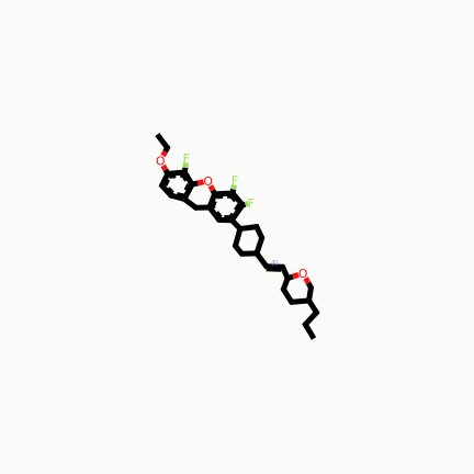 CCCC1CCC(/C=C/C2CCC(c3cc4c(c(F)c3F)Oc3c(ccc(OCC)c3F)C4)CC2)OC1